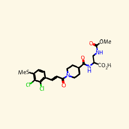 COC(=O)NCC(NC(=O)C1CCN(C(=O)C=Cc2ccc(SC)c(Cl)c2Cl)CC1)C(=O)O